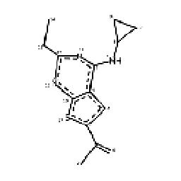 C=C(C)c1cc2c(NC3CC3)nc(CC)nc2s1